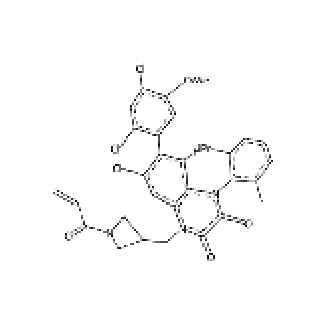 C=CC(=O)N1CC(Cn2c(=O)c(=O)n(-c3c(C)cccc3C(C)C)c3c(F)c(-c4cc(OC)c(Cl)cc4Cl)c(Cl)cc32)C1